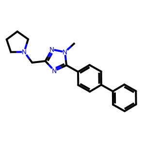 Cn1nc(CN2CCCC2)nc1-c1ccc(-c2ccccc2)cc1